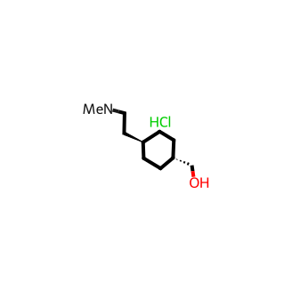 CNCC[C@H]1CC[C@H](CO)CC1.Cl